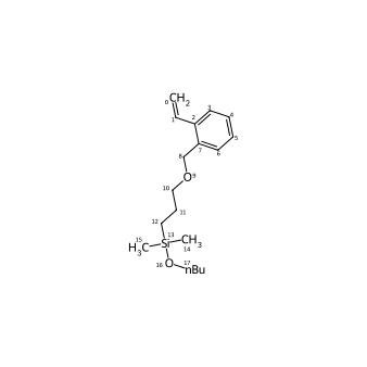 C=Cc1ccccc1COCCC[Si](C)(C)OCCCC